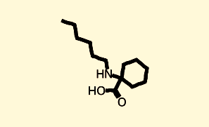 CCCCCCNC1(C(=O)O)CCCCC1